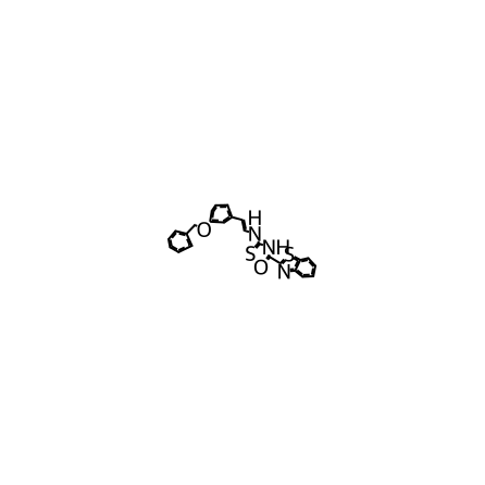 O=C(NC(=S)NC=Cc1cccc(OCc2ccccc2)c1)c1nc2ccccc2s1